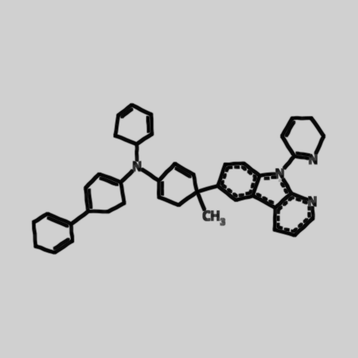 CC1(c2ccc3c(c2)c2cccnc2n3C2=NCCC=C2)C=CC(N(C2=CC=C(C3=CCCC=C3)CC2)C2C=CC=CC2)=CC1